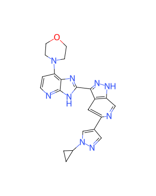 c1cc(N2CCOCC2)c2nc(-c3n[nH]c4cnc(-c5cnn(C6CC6)c5)cc34)[nH]c2n1